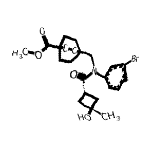 COC(=O)C12CCC(CN(c3cccc(Br)c3)C(=O)[C@H]3C[C@@](C)(O)C3)(CC1)CC2